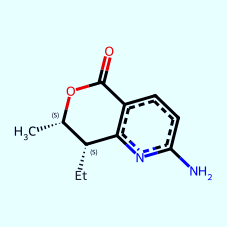 CC[C@H]1c2nc(N)ccc2C(=O)O[C@H]1C